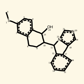 CSc1ccc2c(c1)CCC(C1c3ccccc3-c3cncn31)C2O